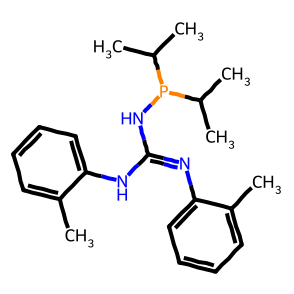 Cc1ccccc1/N=C(\Nc1ccccc1C)NP(C(C)C)C(C)C